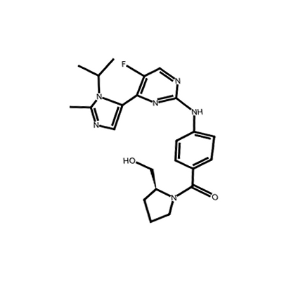 Cc1ncc(-c2nc(Nc3ccc(C(=O)N4CCC[C@H]4CO)cc3)ncc2F)n1C(C)C